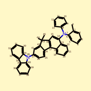 Cc1ccccc1N(c1ccccc1)c1cc2c(c3ccccc13)-c1ccc(-n3c4ccccc4c4ccccc43)cc1C2(C)C